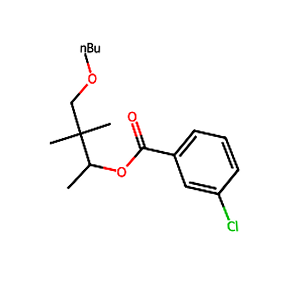 CCCCOCC(C)(C)C(C)OC(=O)c1cccc(Cl)c1